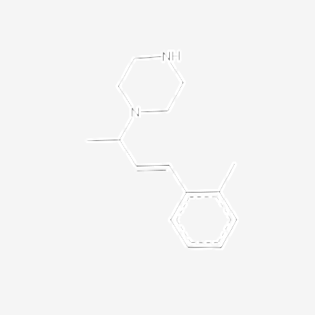 Cc1ccccc1/C=C/C(C)N1CCNCC1